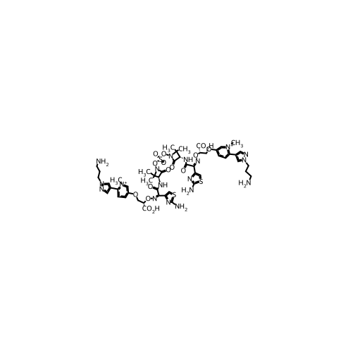 C[n+]1cc(OC[C@H](O/N=C(\C(=O)N[C@@H]2C(=O)N(OS(=O)(=O)ON3C(=O)[C@@H](NC(=O)/C(=N\O[C@@H](COc4ccc(-c5cnn(CCCN)c5)[n+](C)c4)C(=O)O)c4csc(N)n4)C3(C)C)C2(C)C)c2csc(N)n2)C(=O)O)ccc1-c1cnn(CCCN)c1